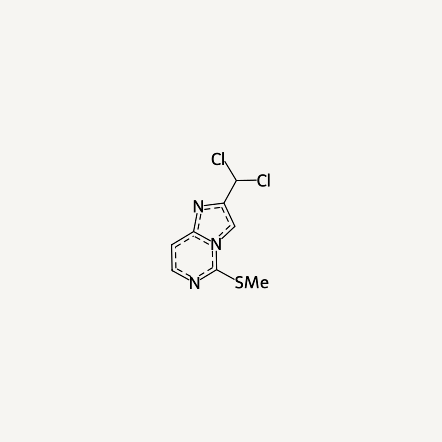 CSc1nccc2nc(C(Cl)Cl)cn12